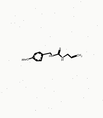 C=CCNC(=S)NCc1ccc(OC)cc1